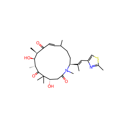 CC(=Cc1csc(C)n1)[C@@H]1CCC(C)/C=C/C(=O)[C@H](C)[C@H](O)[C@@H](C)C(=O)C(C)(C)[C@@H](O)CC(=O)N1C